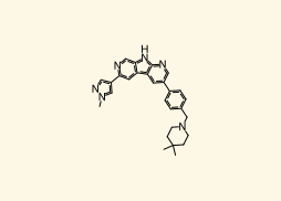 Cn1cc(-c2cc3c(cn2)[nH]c2ncc(-c4ccc(CN5CCC(C)(C)CC5)cc4)cc23)cn1